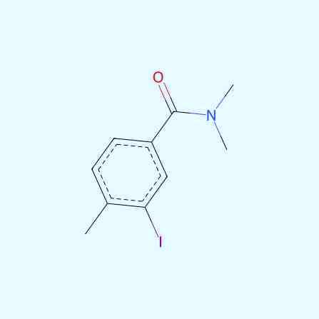 Cc1ccc(C(=O)N(C)C)cc1I